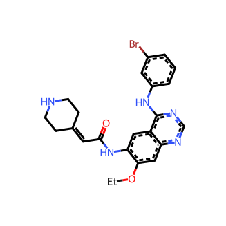 CCOc1cc2ncnc(Nc3cccc(Br)c3)c2cc1NC(=O)C=C1CCNCC1